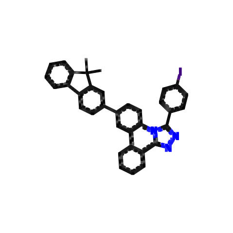 CC1(C)c2ccccc2-c2ccc(-c3ccc4c(c3)c3ccccc3c3nnc(-c5ccc(I)cc5)n43)cc21